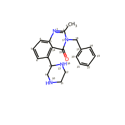 Cc1nc2cccc(C3CNCCN3)c2c(=O)n1Cc1ccccc1